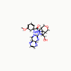 COC1=CC=CC(N)(C(=O)NC2(CCO)C3COCC2CN(c2ncc4nccnc4n2)C3)C1